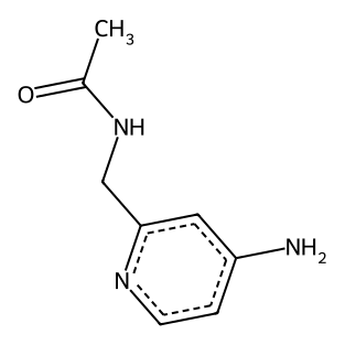 CC(=O)NCc1cc(N)ccn1